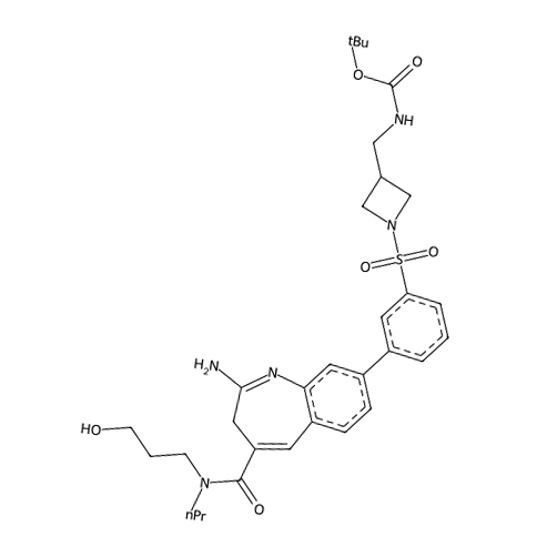 CCCN(CCCO)C(=O)C1=Cc2ccc(-c3cccc(S(=O)(=O)N4CC(CNC(=O)OC(C)(C)C)C4)c3)cc2N=C(N)C1